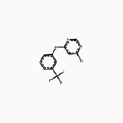 FC(F)(F)c1cccc(Oc2cc(Cl)ncn2)c1